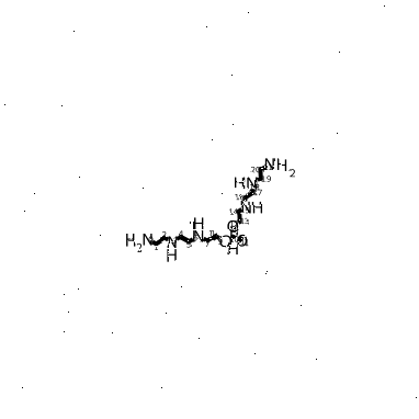 NCCNCCNCCO[PH](=O)OCCNCCNCCN